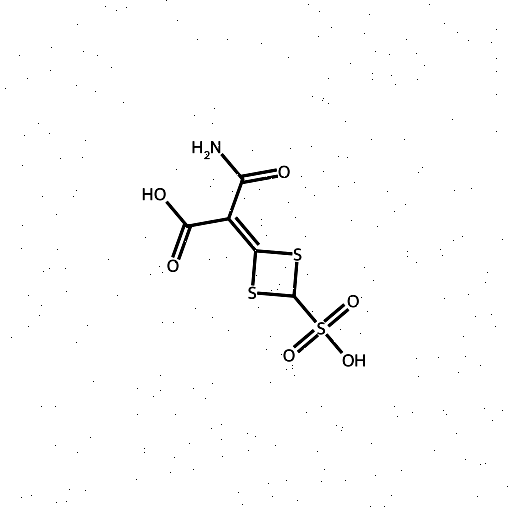 NC(=O)C(C(=O)O)=C1SC(S(=O)(=O)O)S1